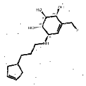 O[C@@H]1[C@@H](O)[C@@H](O)C(CF)=C[C@H]1NCCCC1CC=CC1